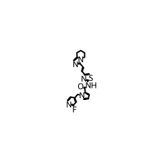 O=C(Nc1nc(C=Cc2ncc3n2CCCC3)cs1)c1cccn1Cc1ccnc(F)c1